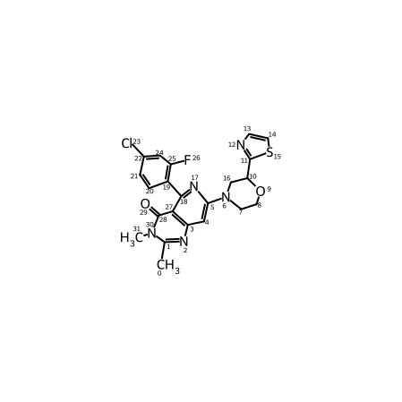 Cc1nc2cc(N3CCOC(c4nccs4)C3)nc(-c3ccc(Cl)cc3F)c2c(=O)n1C